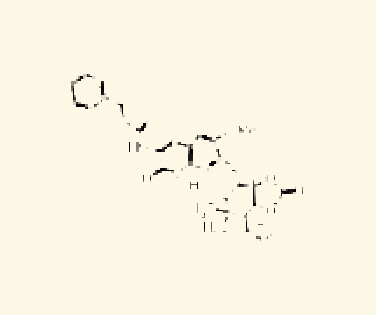 COc1cc2cc(NC(=O)OCc3ccccc3)c(=O)oc2c(C)c1O[C@@H]1OC(C)(C)[C@H](OC)[C@@H]2OC(=O)O[C@H]12